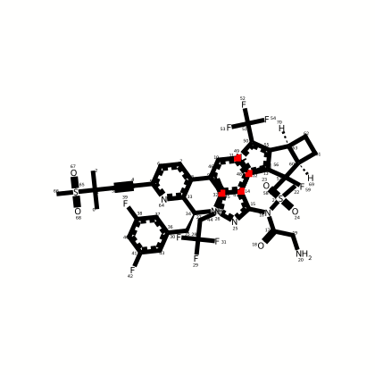 CC(C)(C#Cc1ccc(-c2ccc(Cl)c3c(N(C(=O)CN)S(C)(=O)=O)nn(CC(F)(F)F)c23)c([C@H](Cc2cc(F)cc(F)c2)NC(=O)Cn2nc(C(F)(F)F)c3c2C(F)(F)[C@@H]2CC[C@H]32)n1)S(C)(=O)=O